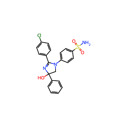 NS(=O)(=O)c1ccc(N2CC(O)(c3ccccc3)N=C2c2ccc(Cl)cc2)cc1